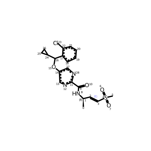 C[C@H](/C=C/S(C)(=O)=O)NC(=O)c1ncc(OC(c2ccccc2Cl)C2CC2)cn1